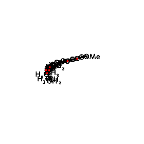 COCCOCCOCCOCCOCCOCCC(=O)O[C@H]1CC[C@@]2(C)C(=CC[C@H]3[C@@H]4CC[C@H]([C@H](C)CCCC(C)(C)O)[C@@]4(C)CC[C@@H]32)C1